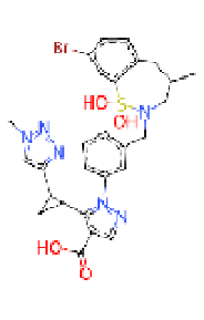 CC1Cc2ccc(Br)cc2S(O)(O)N(Cc2cccc(-n3ncc(C(=O)O)c3C3CC3c3cn(C)nn3)c2)C1